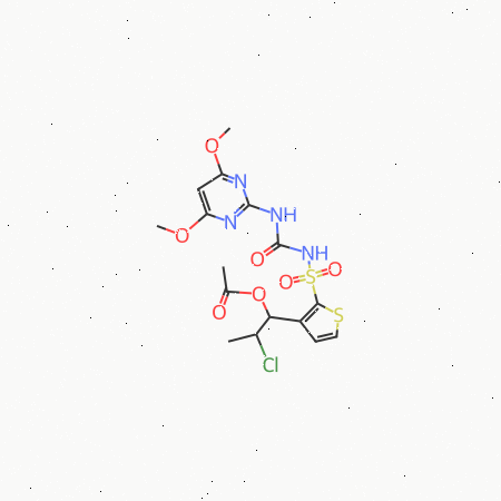 COc1cc(OC)nc(NC(=O)NS(=O)(=O)c2sccc2C(OC(C)=O)C(C)Cl)n1